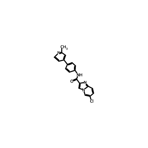 Cc1cc(-c2ccc(NC(=O)c3cn4cc(Cl)ccc4n3)cc2)ccn1